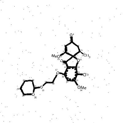 COC1=CC(=O)C[C@@H](C)C12Oc1c(Cl)c(OC)cc(OCCOC3CCCCO3)c1C2=O